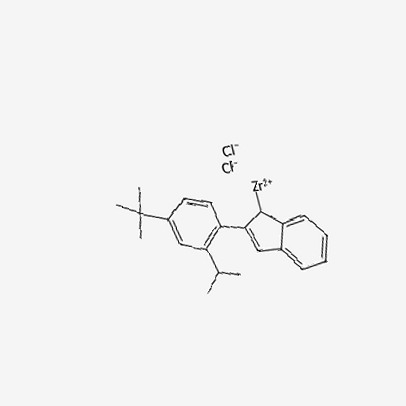 CC(C)c1cc(C(C)(C)C)ccc1C1=Cc2ccccc2[CH]1[Zr+2].[Cl-].[Cl-]